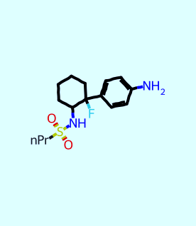 CCCS(=O)(=O)NC1CCCCC1(F)c1ccc(N)cc1